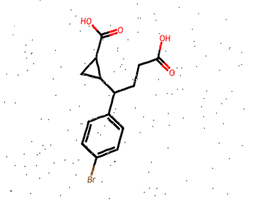 O=C(O)CCC(c1ccc(Br)cc1)C1CC1C(=O)O